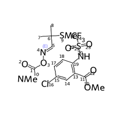 CNC(=O)O/N=C/C(C)(C)SC.COC(=O)c1cc(Cl)ccc1NS(=O)(=O)C(F)(F)F